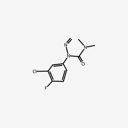 C=NN(C(=O)N(C)C)c1ccc(F)c(Cl)c1